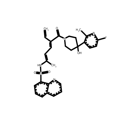 C=C/C(=C\C=C(/C)NS(=O)(=O)c1cccc2cccnc12)C(=O)N1CCC(O)(c2ccc(F)nc2C)CC1